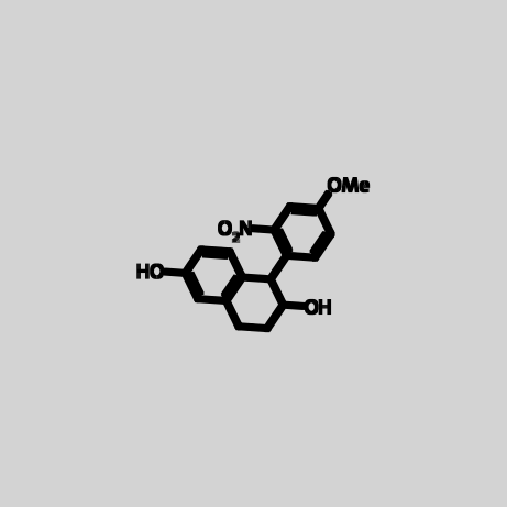 COc1ccc(C2c3ccc(O)cc3CCC2O)c([N+](=O)[O-])c1